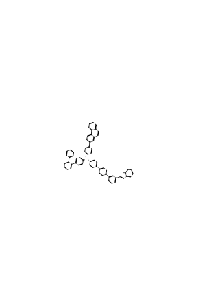 c1ccc(-c2ccccc2-c2ccc(N(c3ccc(-c4ccc(-c5cccc(-c6cc7ccccc7o6)c5)cc4)cc3)c3ccc(-c4ccc5c(ccc6ccccc65)c4)cc3)cc2)cc1